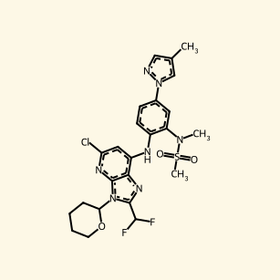 Cc1cnn(-c2ccc(Nc3cc(Cl)nc4c3nc(C(F)F)n4C3CCCCO3)c(N(C)S(C)(=O)=O)c2)c1